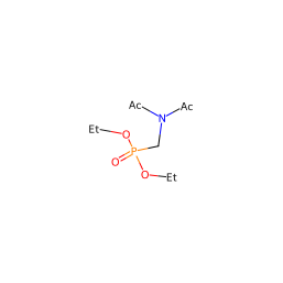 CCOP(=O)(CN(C(C)=O)C(C)=O)OCC